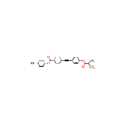 C=C(C)C(=O)Oc1ccc(C#Cc2ccc(C(=O)Oc3ccc(CCC)cc3)cc2)cc1